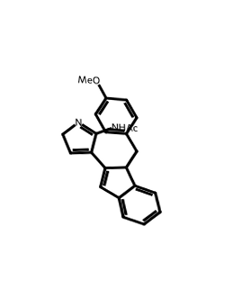 COc1ccc(CC2C(C3=CCN=C3NC(C)=O)=Cc3ccccc32)cc1